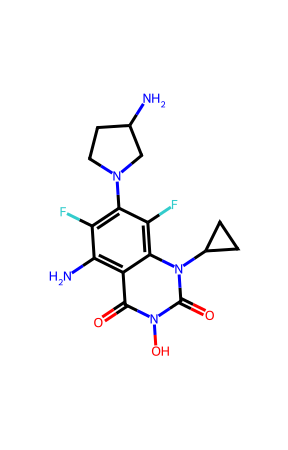 Nc1c(F)c(N2CCC(N)C2)c(F)c2c1c(=O)n(O)c(=O)n2C1CC1